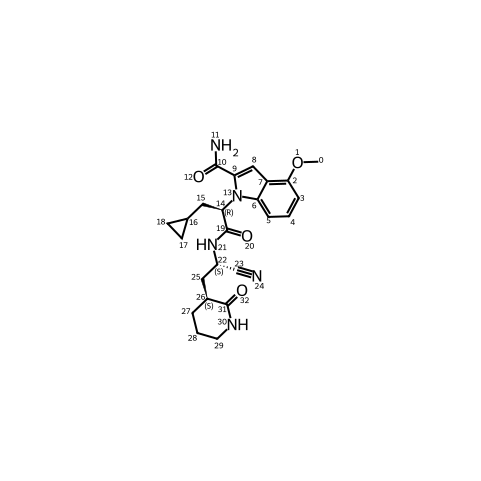 COc1cccc2c1cc(C(N)=O)n2[C@H](CC1CC1)C(=O)N[C@H](C#N)C[C@@H]1CCCNC1=O